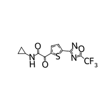 O=C(NC1CC1)C(=O)c1ccc(-c2noc(C(F)(F)F)n2)s1